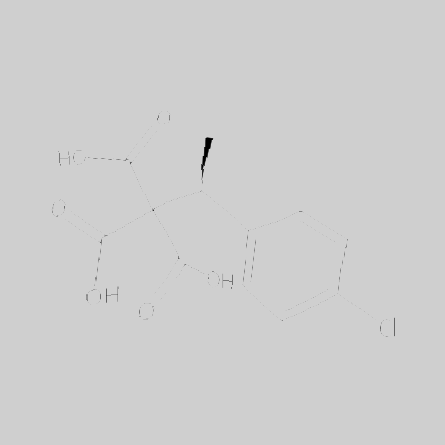 C[C@@H](c1ccc(Cl)cc1)C(C(=O)O)(C(=O)O)C(=O)O